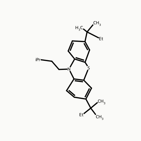 CCC(C)(C)c1ccc2c(c1)Sc1cc(C(C)(C)CC)ccc1N2CCC(C)C